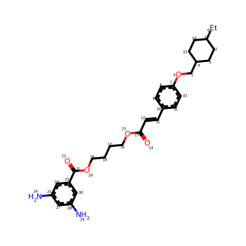 CCC1CCC(COc2ccc(/C=C/C(=O)OCCCCOC(=O)c3cc(N)cc(N)c3)cc2)CC1